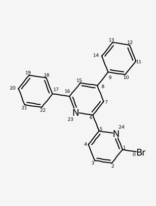 Brc1cccc(-c2cc(-c3ccccc3)cc(-c3ccccc3)n2)n1